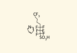 O=S(=O)(O)C(F)(F)C(F)(F)C(F)(F)CCCCC(F)(F)F.c1ccncc1